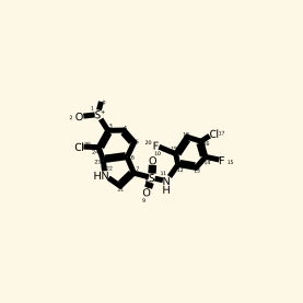 C[S+]([O-])c1ccc2c(S(=O)(=O)Nc3cc(F)c(Cl)cc3F)c[nH]c2c1Cl